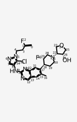 C=C(F)CCn1ncc(Nc2ncc3cc(C)c([C@@H]4CCN([C@@H]5COC[C@@H]5O)C[C@H]4F)cc3n2)c1Cl